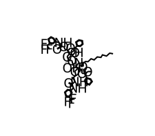 CCCCCCCCCCC(=O)N[C@H](CO[C@H](CO)OC1COC(c2ccccc2)O[C@@H]1COC(=O)Nc1cccc(C(F)(F)F)c1)C(COC(OC)c1ccccc1)OCCNC(=O)Nc1cccc(C(F)(F)F)c1